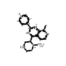 Cc1nccc2c(C3CNCCN3C(=O)O)nc(-c3ccncc3)nc12